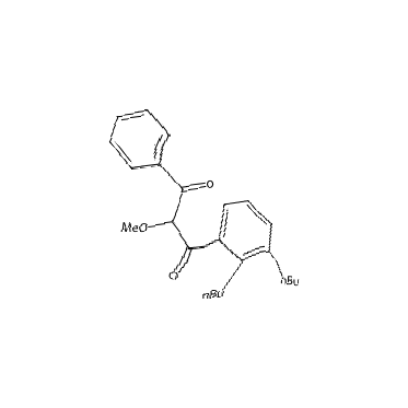 CCCCc1cccc(C(=O)C(OC)C(=O)c2ccccc2)c1CCCC